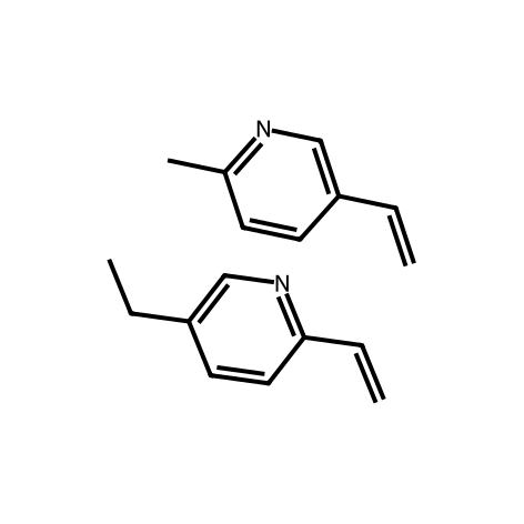 C=Cc1ccc(C)nc1.C=Cc1ccc(CC)cn1